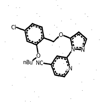 CCCCOc1cc(Cl)ccc1COc1ccnn1-c1cc(C#N)ccn1